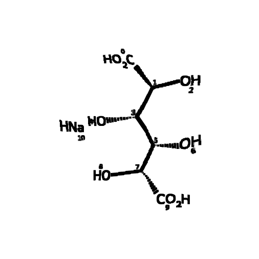 O=C(O)[C@@H](O)[C@@H](O)[C@H](O)[C@@H](O)C(=O)O.[NaH]